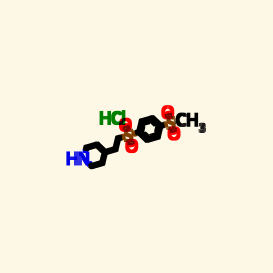 CS(=O)(=O)c1ccc(S(=O)(=O)CCC2CCNCC2)cc1.Cl